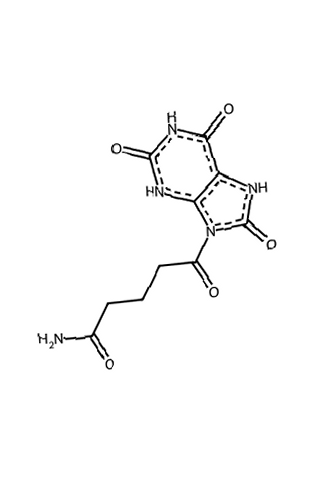 NC(=O)CCCC(=O)n1c(=O)[nH]c2c(=O)[nH]c(=O)[nH]c21